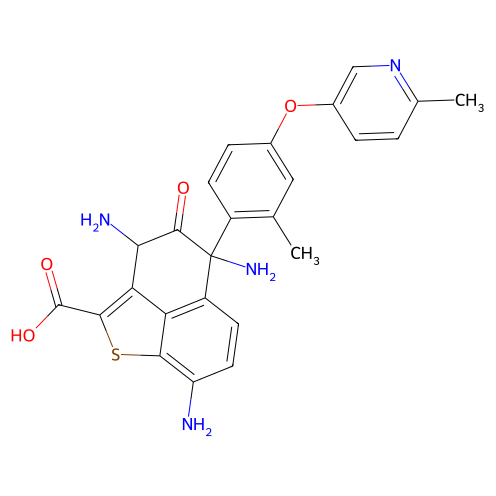 Cc1ccc(Oc2ccc(C3(N)C(=O)C(N)c4c(C(=O)O)sc5c(N)ccc3c45)c(C)c2)cn1